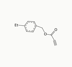 C#CC(=O)OCc1ccc(CC)cc1